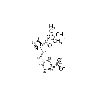 CC(C)(C)OC(=O)n1ccnc1/C=C/c1cccc([N+](=O)[O-])c1